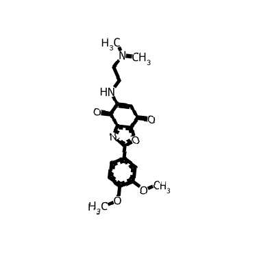 COc1ccc(-c2nc3c(o2)C(=O)C=C(NCCN(C)C)C3=O)cc1OC